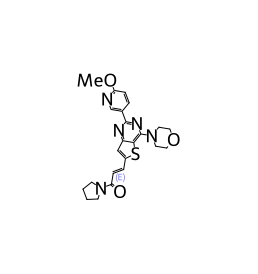 COc1ccc(-c2nc(N3CCOCC3)c3sc(/C=C/C(=O)N4CCCC4)cc3n2)cn1